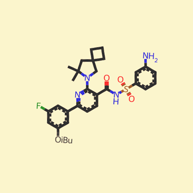 CC(C)COc1cc(F)cc(-c2ccc(C(=O)NS(=O)(=O)c3cccc(N)c3)c(N3CC4(CCC4)CC3(C)C)n2)c1